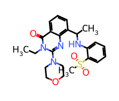 CCn1c(N2CCOCC2)nc2c(C(C)Nc3ccccc3S(C)(=O)=O)cccc2c1=O